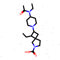 CCC1C(N2CCC(N(CC)C(C)=O)CC2)CC12CCN(C(=O)O)C2